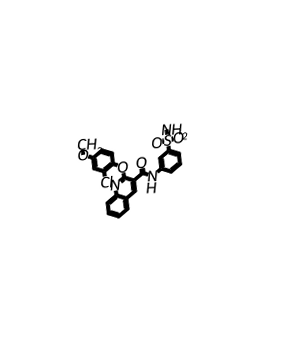 COc1ccc(Oc2nc3ccccc3cc2C(=O)Nc2cccc(S(N)(=O)=O)c2)c(Cl)c1